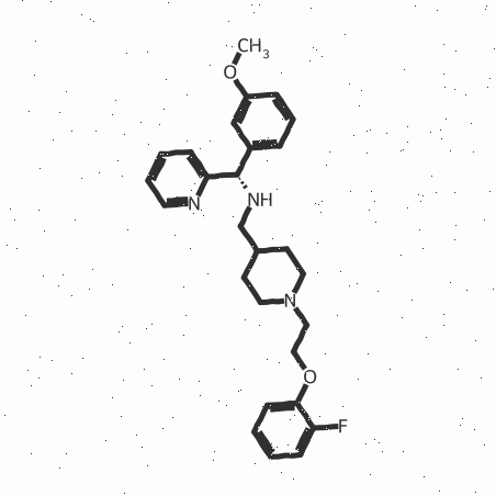 COc1cccc([C@H](NCC2CCN(CCOc3ccccc3F)CC2)c2ccccn2)c1